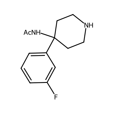 CC(=O)NC1(c2cccc(F)c2)CCNCC1